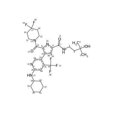 CC(C)(O)CCNC(=O)c1nc(C(=O)N2CCC(F)(F)CC2)c(-c2cnc(NC3CCCCC3)cc2C(F)(F)F)s1